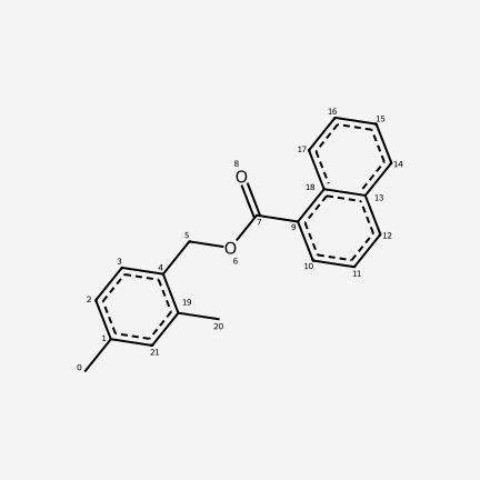 Cc1ccc(COC(=O)c2cccc3ccccc23)c(C)c1